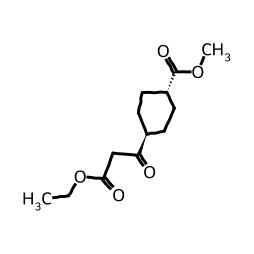 CCOC(=O)CC(=O)[C@H]1CC[C@H](C(=O)OC)CC1